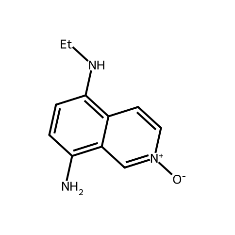 CCNc1ccc(N)c2c[n+]([O-])ccc12